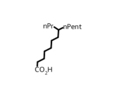 CCCCCC(CCC)CCCCCCC(=O)O